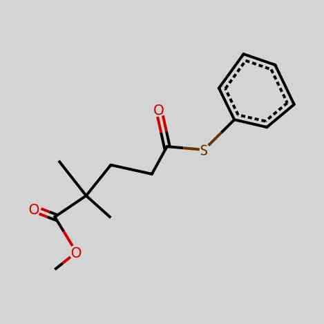 COC(=O)C(C)(C)CCC(=O)Sc1ccccc1